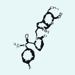 Cc1cc2cc(Cn3c(C(=O)N(C)c4ccc(F)cc4)cccc3=O)[nH]c2nc1Br